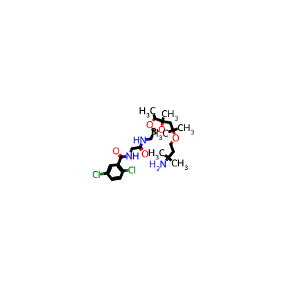 CC1OB(CNC(=O)CNC(=O)c2cc(Cl)ccc2Cl)OC1(C)CC(C)(C)OCCC(C)(C)N